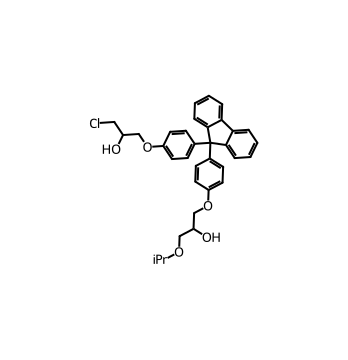 CC(C)OCC(O)COc1ccc(C2(c3ccc(OCC(O)CCl)cc3)c3ccccc3-c3ccccc32)cc1